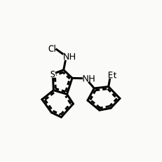 CCc1ccccc1Nc1c(NCl)sc2ccccc12